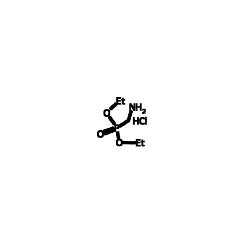 CCOP(=O)(CN)OCC.Cl